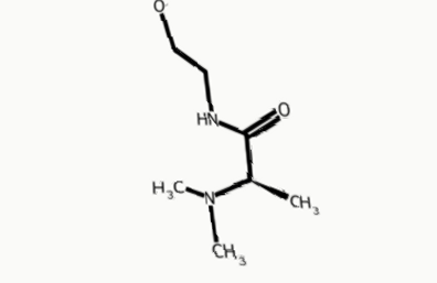 C[C@H](C(=O)NCC[O])N(C)C